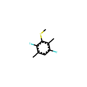 CSc1c(C)c(F)cc(C)c1F